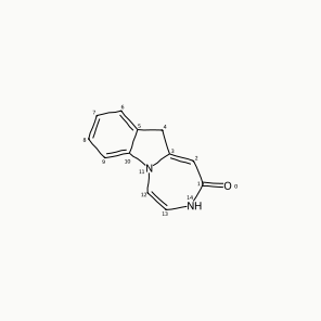 O=C1C=C2Cc3ccccc3N2C=CN1